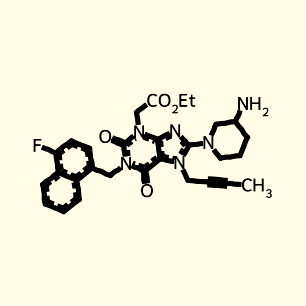 CC#CCn1c(N2CCCC(N)C2)nc2c1c(=O)n(Cc1ccc(F)c3ccccc13)c(=O)n2CC(=O)OCC